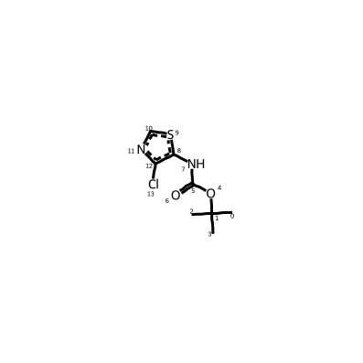 CC(C)(C)OC(=O)Nc1scnc1Cl